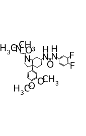 COc1ccc(C23CCC(NC(=O)Nc4ccc(F)c(F)c4)CC2N(C(=O)CN(C)C)CC3)cc1OC